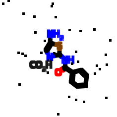 NC1=CN(C(=O)O)C(NC(=O)c2ccccc2)S1